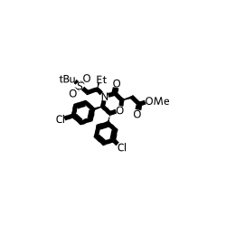 CC[C@@H](CS(=O)(=O)C(C)(C)C)N1C(=O)[C@@H](CC(=O)OC)O[C@H](c2cccc(Cl)c2)[C@H]1c1ccc(Cl)cc1